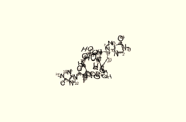 Cn1cnc2c(ncn2[C@@H]2C[C@@H]3OP(=O)(O)O[C@H]4[C@@H](F)[C@H](n5cnc6c(=O)n(C)cnc65)O[C@@H]4COC(O)O[C@@H]2[C@@H]3O)c1=O